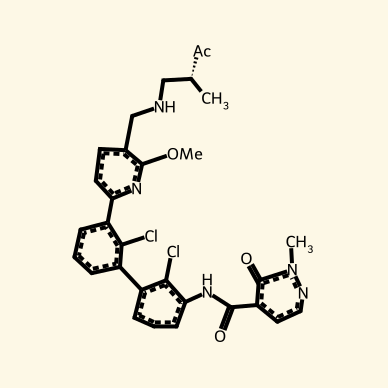 COc1nc(-c2cccc(-c3cccc(NC(=O)c4ccnn(C)c4=O)c3Cl)c2Cl)ccc1CNC[C@@H](C)C(C)=O